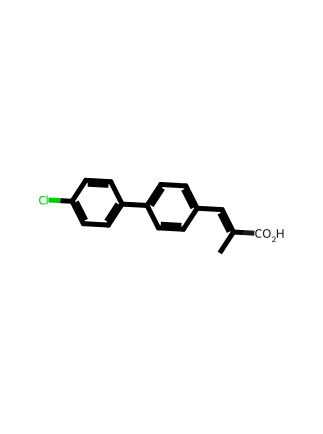 CC(=Cc1ccc(-c2ccc(Cl)cc2)cc1)C(=O)O